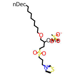 CCCCCCCCCCCCCCCCCCOCC(CCS(=O)(=O)CCC[n+]1ccsc1)OC.CS(=O)(=O)[O-]